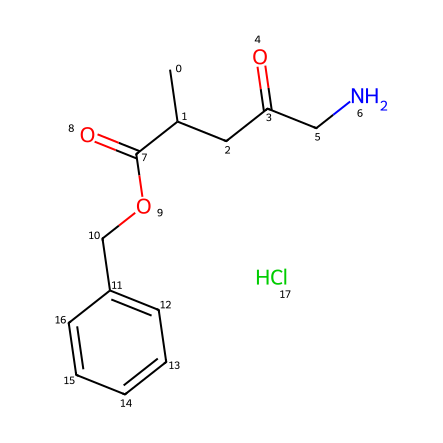 CC(CC(=O)CN)C(=O)OCc1ccccc1.Cl